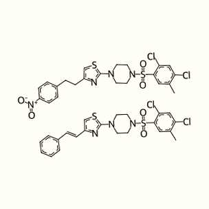 Cc1cc(S(=O)(=O)N2CCN(c3nc(C=Cc4ccccc4)cs3)CC2)c(Cl)cc1Cl.Cc1cc(S(=O)(=O)N2CCN(c3nc(CCc4ccc([N+](=O)[O-])cc4)cs3)CC2)c(Cl)cc1Cl